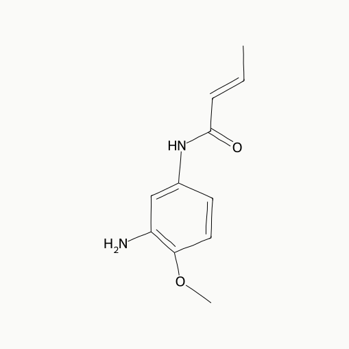 CC=CC(=O)Nc1ccc(OC)c(N)c1